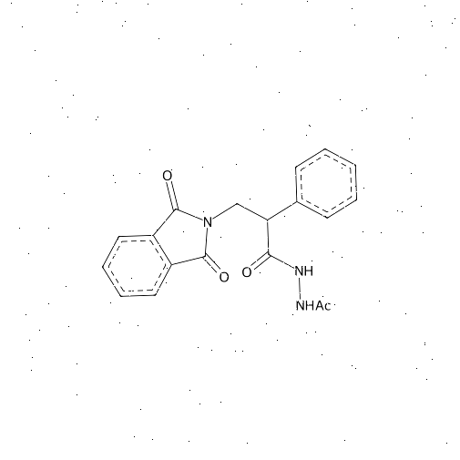 CC(=O)NNC(=O)C(CN1C(=O)c2ccccc2C1=O)c1ccccc1